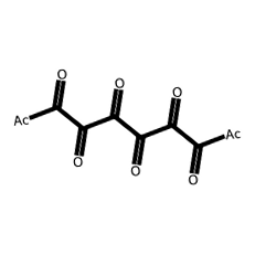 CC(=O)C(=O)C(=O)C(=O)C(=O)C(=O)C(=O)C(C)=O